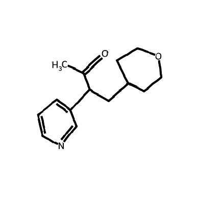 CC(=O)C(CC1CCOCC1)c1cccnc1